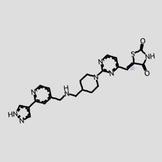 O=C1NC(=O)/C(=C/c2ccnc(N3CCC(CNCc4ccnc(-c5cn[nH]c5)c4)CC3)n2)S1